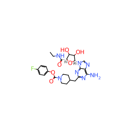 CCNC(=O)[C@H]1O[C@@H](n2cnc3c(N)nc(CC4CCN(C(=O)Oc5ccc(F)cc5)CC4)nc32)C(O)C1O